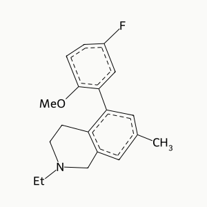 CCN1CCc2c(cc(C)cc2-c2cc(F)ccc2OC)C1